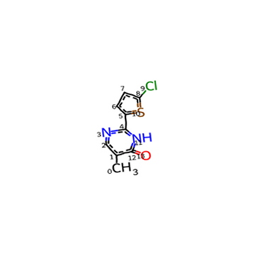 Cc1cnc(-c2ccc(Cl)s2)[nH]c1=O